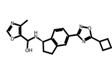 Cc1ncoc1C(O)N[C@@H]1CCc2cc(-c3noc(C4CCC4)n3)ccc21